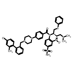 Cc1cc(Cl)ccc1-c1ccccc1CN1CCN(c2ccc(C(=O)N(c3ccc(S(N)(=O)=O)cc3[N+](=O)[O-])[C@H](CCN(C)C)CSc3ccccc3)cc2)CC1